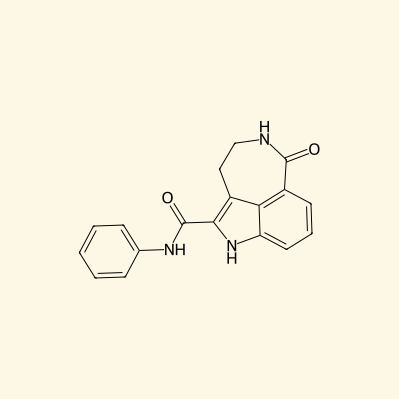 O=C(Nc1ccccc1)c1[nH]c2cccc3c2c1CCNC3=O